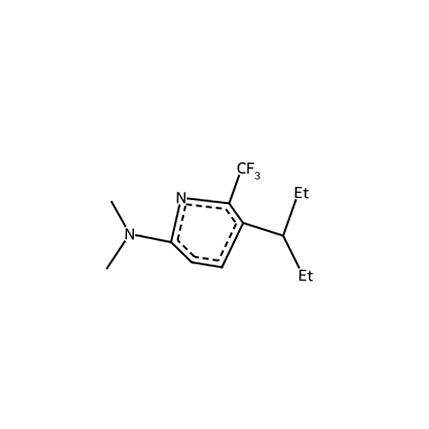 CCC(CC)c1ccc(N(C)C)nc1C(F)(F)F